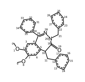 COc1cc2c(cc1OC)C(Cc1ccccc1)C(=O)N(Cc1ccccc1)N=C2c1ccccc1